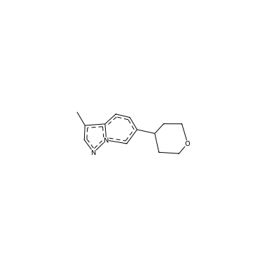 Cc1cnn2cc(C3CCOCC3)ccc12